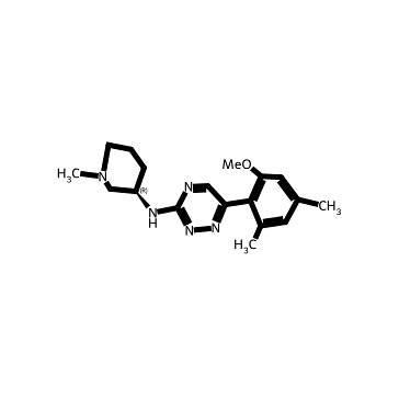 COc1cc(C)cc(C)c1-c1cnc(N[C@@H]2CCCN(C)C2)nn1